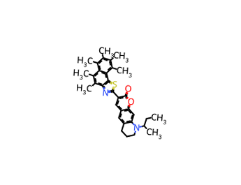 CCC(C)N1CCCc2cc3cc(-c4nc5c(C)c(C)c6c(C)c(C)c(C)c(C)c6c5s4)c(=O)oc3cc21